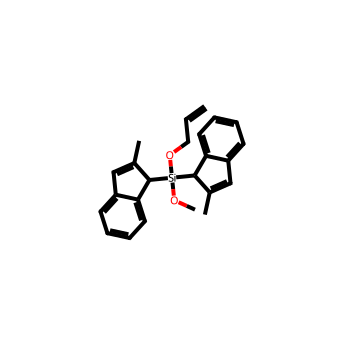 C=CCO[Si](OC)(C1C(C)=Cc2ccccc21)C1C(C)=Cc2ccccc21